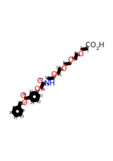 O=C(O)CCOCCOCCOCCOCCNC(=O)COc1cccc(C(=O)OCc2ccccc2)c1